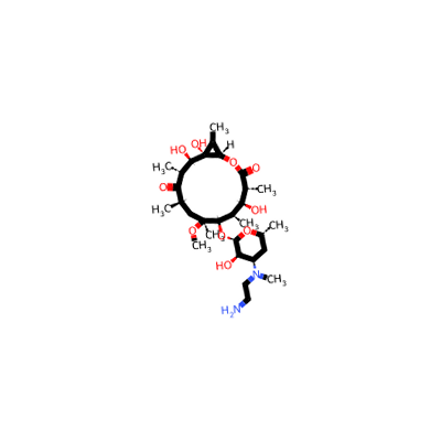 CO[C@@]1(C)C[C@@H](C)C(=O)[C@H](C)[C@@H](O)[C@@]2(O)C(C)[C@H]2OC(=O)[C@H](C)[C@@H](O)[C@H](C)[C@H]1O[C@@H]1O[C@H](C)C[C@H](N(C)CCN)[C@H]1O